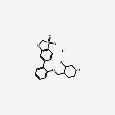 Cl.O=S1(=O)COc2cc(-c3ccccc3OCC3CCNCC3F)ccc21